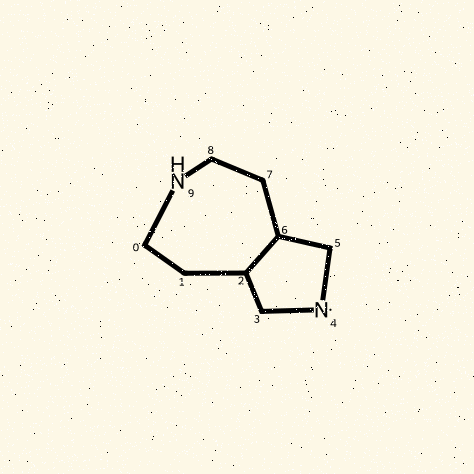 C1CC2C[N]CC2CCN1